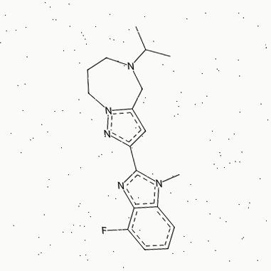 CC(C)N1CCCn2nc(-c3nc4c(F)cccc4n3C)cc2C1